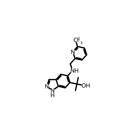 CC(C)(O)c1cc2[nH]ncc2cc1NCc1cccc(C(F)(F)F)n1